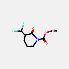 CC(C)(C)OC(=O)N1CCCC(C(F)F)C1=O